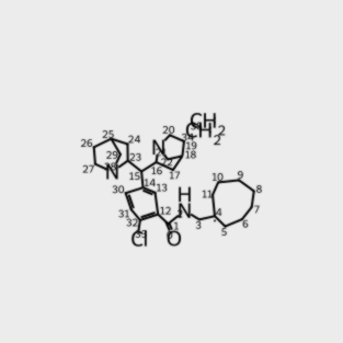 O=C(NC[C]1CCCCCCC1)c1cc(C(C2CC3CCN2C3)C2CC3CCN2C3)ccc1Cl.[CH2].[CH2]